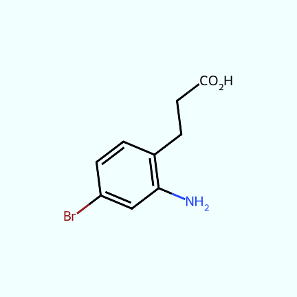 Nc1cc(Br)ccc1CCC(=O)O